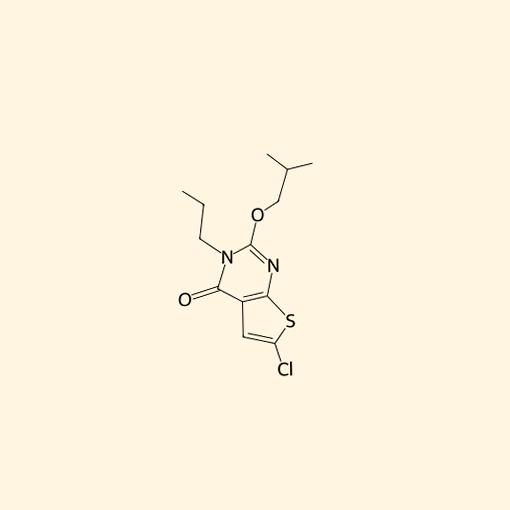 CCCn1c(OCC(C)C)nc2sc(Cl)cc2c1=O